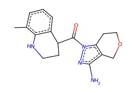 Cc1cccc2c1NCCC2C(=O)n1nc(N)c2c1CCOC2